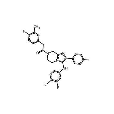 Cc1cc(CC(=O)N2CCn3c(nc(-c4ccc(F)cc4)c3Nc3ccc(Cl)c(F)c3)C2)ccc1F